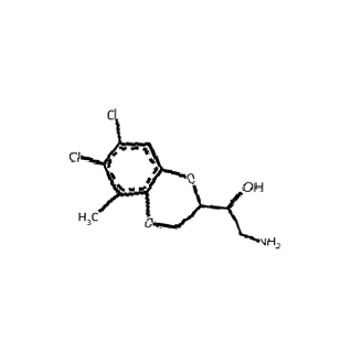 Cc1c(Cl)c(Cl)cc2c1OCC(C(O)CN)O2